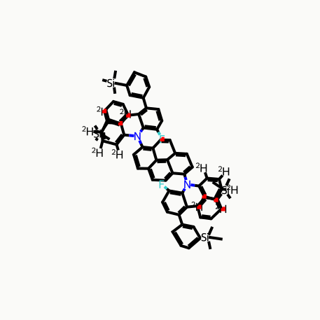 [2H]c1c([2H])c([2H])c(N(c2c(F)ccc(-c3cccc([Si](C)(C)C)c3)c2-c2cccc([Si](C)(C)C)c2)c2ccc3ccc4c(N(c5c([2H])c([2H])c([2H])c([2H])c5[2H])c5c(F)ccc(-c6cccc([Si](C)(C)C)c6)c5-c5cccc([Si](C)(C)C)c5)ccc5ccc2c3c54)c([2H])c1[2H]